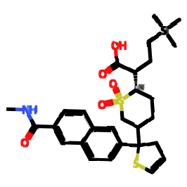 CNC(=O)c1ccc2cc(C3(C4CC[C@@H](C(CC[Si](C)(C)C)C(=O)O)S(=O)(=O)C4)CC=CS3)ccc2c1